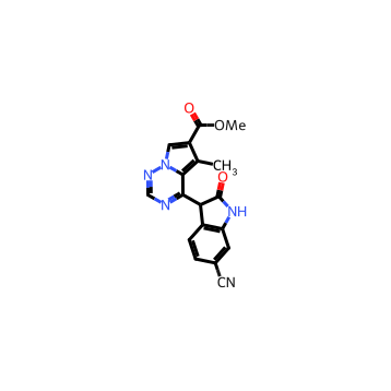 COC(=O)c1cn2ncnc(C3C(=O)Nc4cc(C#N)ccc43)c2c1C